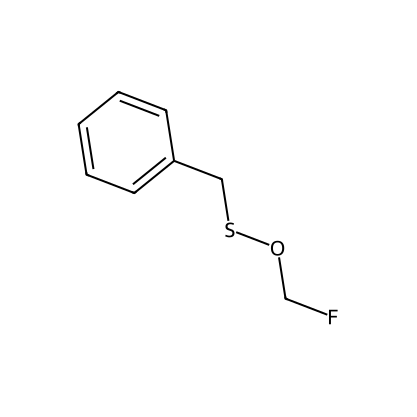 FCOSCc1ccccc1